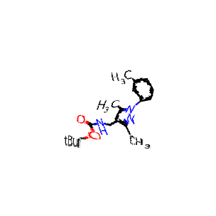 Cc1cccc(-n2nc(C)c(CNC(=O)OC(C)(C)C)c2C)c1